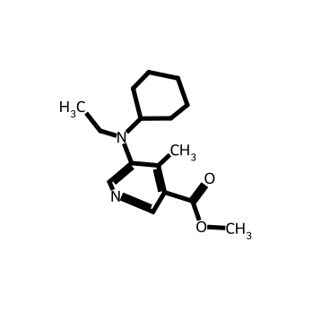 CCN(c1cncc(C(=O)OC)c1C)C1CCCCC1